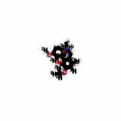 [2H]OC1C=C[C@@]2([2H])[C@@]3([2H])Cc4c([2H])c([2H])c(OC([2H])([2H])[2H])c5c4[C@@]2(CCN3C)C1([2H])O5